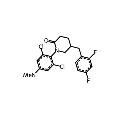 CNc1cc(Cl)c(N2CC(Cc3ccc(F)cc3F)CCC2=O)c(Cl)c1